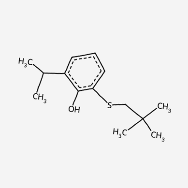 CC(C)c1cccc(SCC(C)(C)C)c1O